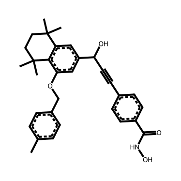 Cc1ccc(COc2cc(C(O)C#Cc3ccc(C(=O)NO)cc3)cc3c2C(C)(C)CCC3(C)C)cc1